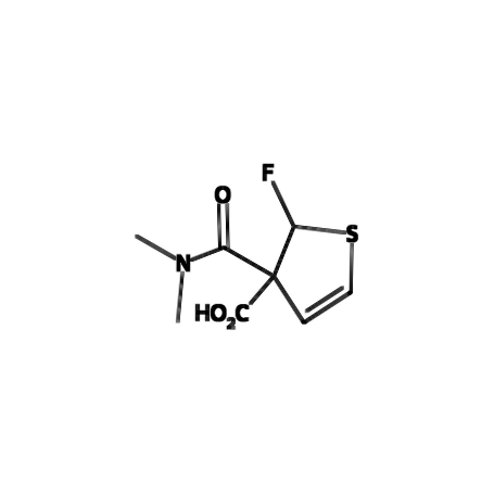 CN(C)C(=O)C1(C(=O)O)C=CSC1F